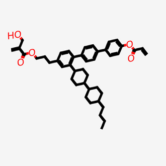 C=CC(=O)Oc1ccc(-c2ccc(-c3ccc(CCCOC(=O)C(=C)CO)cc3C3CCC(C4CCC(CCCC)CC4)CC3)cc2)cc1